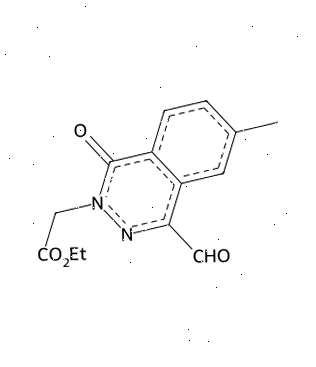 CCOC(=O)Cn1nc(C=O)c2cc(C)ccc2c1=O